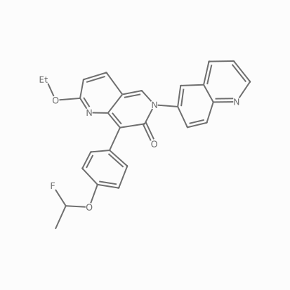 CCOc1ccc2cn(-c3ccc4ncccc4c3)c(=O)c(-c3ccc(OC(C)F)cc3)c2n1